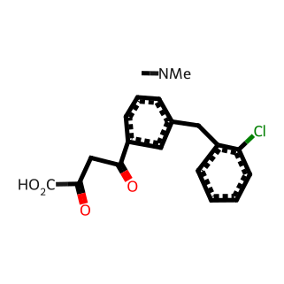 CNC.O=C(O)C(=O)CC(=O)c1cccc(Cc2ccccc2Cl)c1